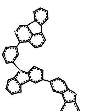 c1cc(-c2ncc3c4c(cccc24)-c2ccccc2-3)cc(-n2c3ccccc3c3cc(-c4ccc5sc6ccccc6c5c4)ccc32)c1